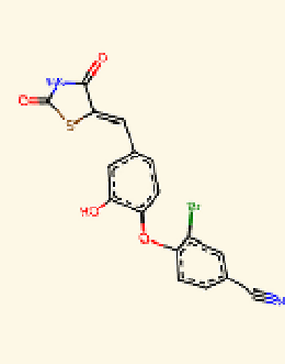 N#Cc1ccc(Oc2ccc(/C=C3\SC(=O)NC3=O)cc2O)c(Br)c1